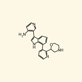 Nc1ccncc1-c1c[nH]c2c(-c3cccnc3C3CNCCO3)cccc12